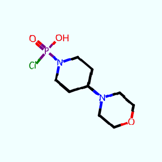 O=P(O)(Cl)N1CCC(N2CCOCC2)CC1